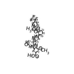 COc1cc(C(=O)O)cc2c1nc(CN1CCN(c3cccc4c3OC(C)(c3ccc(C(F)(F)F)cn3)O4)C=N1)n2C[C@@H]1CCO1